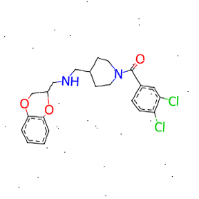 O=C(c1ccc(Cl)c(Cl)c1)N1CCC(CNCC2COc3ccccc3O2)CC1